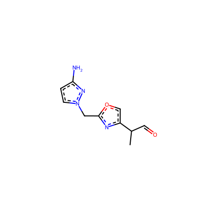 CC(C=O)c1coc(Cn2ccc(N)n2)n1